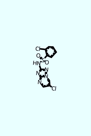 O=S(=O)(Nc1nc2ncc(Cl)cn2n1)c1ccccc1Cl